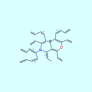 C=C/C=C\C1=C(C=C)OC(C=C)=C2B1C(/C=C\C=C)=C(C=C)N(C(/C=C\C=C)=C/C=C)/C2=C/C